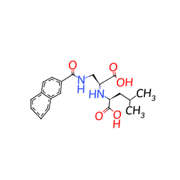 CC(C)C[C@H](N[C@@H](CNC(=O)c1ccc2ccccc2c1)C(=O)O)C(=O)O